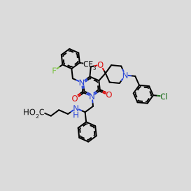 O=C(O)CCCNC(Cn1c(=O)c2c(n(Cc3c(F)cccc3C(F)(F)F)c1=O)COC21CCN(Cc2cccc(Cl)c2)CC1)c1ccccc1